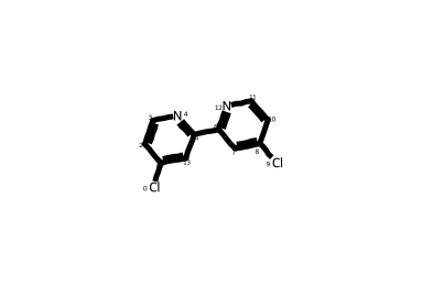 Clc1ccnc(-c2cc(Cl)ccn2)c1